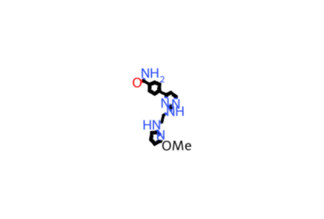 COc1cccc(NCCNc2nccc(-c3ccc(C(N)=O)cc3)n2)n1